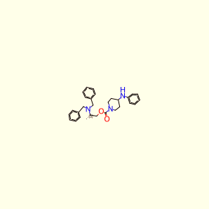 C[C@@H](COC(=O)N1CCC(Nc2ccccc2)CC1)N(Cc1ccccc1)Cc1ccccc1